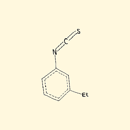 CCc1cccc(N=C=S)c1